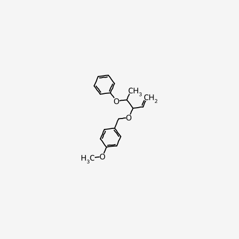 C=CC(OCc1ccc(OC)cc1)C(C)Oc1ccccc1